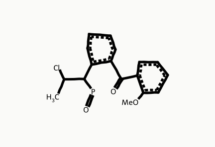 COc1ccccc1C(=O)c1ccccc1C(P=O)C(C)Cl